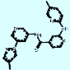 Cc1ccc(Nc2cc(C(=O)Nc3cncc(-n4cc(C)cn4)c3)ccn2)nc1